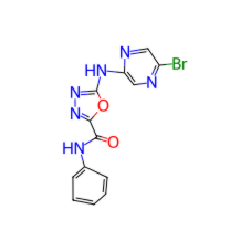 O=C(Nc1ccccc1)c1nnc(Nc2cnc(Br)cn2)o1